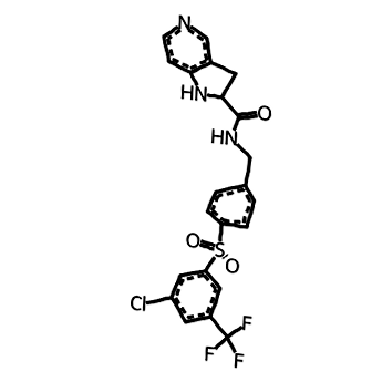 O=C(NCc1ccc(S(=O)(=O)c2cc(Cl)cc(C(F)(F)F)c2)cc1)C1Cc2cnccc2N1